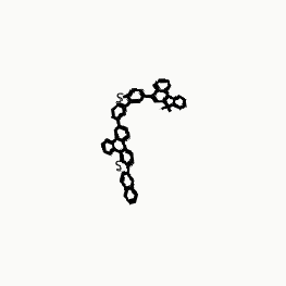 CC1(C)c2ccccc2-c2c1cc(-c1ccc3sc4ccc(-c5ccc6c(c5)c5ccccc5c5c6ccc6c7cc8ccccc8cc7sc65)cc4c3c1)c1ccccc21